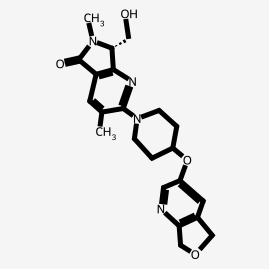 Cc1cc2c(nc1N1CCC(Oc3cnc4c(c3)COC4)CC1)[C@@H](CO)N(C)C2=O